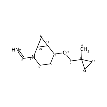 CC1(COC2CCN(C=N)C3CC23)CC1